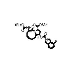 COC(=O)[C@@H]1C[C@@H](OC(=O)N2Cc3cccc(F)c3C2)[C@@H]2CCC=CC[C@H](NC(=O)OC(C)(C)C)C(=O)N12